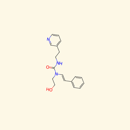 O=C(NCCc1cccnc1)N(C=Cc1ccccc1)CCO